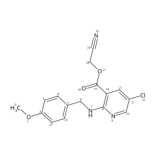 COc1ccc(CNc2ncc(Cl)cc2C(=O)OCC#N)cc1